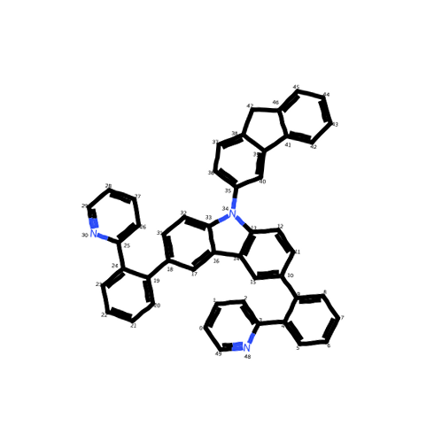 c1ccc(-c2ccccc2-c2ccc3c(c2)c2cc(-c4ccccc4-c4ccccn4)ccc2n3-c2ccc3c(c2)-c2ccccc2C3)nc1